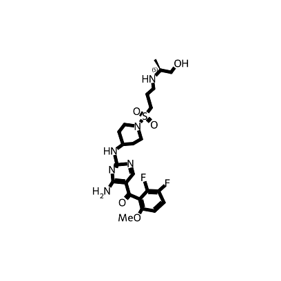 COc1ccc(F)c(F)c1C(=O)c1cnc(NC2CCN(S(=O)(=O)CCCN[C@@H](C)CO)CC2)nc1N